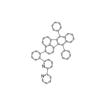 c1ccc(-c2c3c(c(-c4ccccc4)c4ccccc24)-c2ccc(-c4ccccc4-c4cccc(-c5ccccn5)n4)c4cccc-3c24)cc1